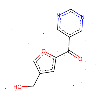 O=C(c1cncnc1)c1cc(CO)co1